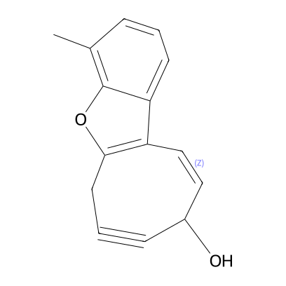 Cc1cccc2c3c(oc12)CC#CC(O)/C=C\3